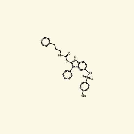 CC(C)(C)c1ccc(S(=O)(=O)Nc2ccc3[nH]c(OC(=O)NCCCc4ccccc4)c(-c4ccccc4)c3c2)cc1